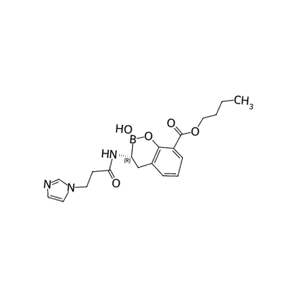 CCCCOC(=O)c1cccc2c1OB(O)[C@@H](NC(=O)CCn1ccnc1)C2